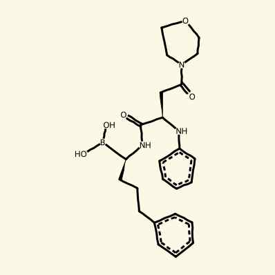 O=C(N[C@@H](CCCc1ccccc1)B(O)O)[C@@H](CC(=O)N1CCOCC1)Nc1ccccc1